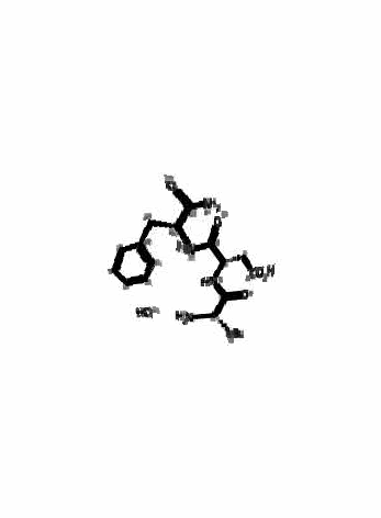 CCCC[C@H](N)C(=O)N[C@@H](CC(=O)O)C(=O)N[C@@H](Cc1ccccc1)C(N)=O.Cl